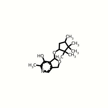 Cc1ncc2c(c1O)C(OC1CC(C)C(C)(C)C1(C)C)OC2